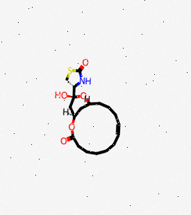 O=C1CCCCCC=CCCC[C@@H]2C[C@H](C[C@](O)([C@@H]3CSC(=O)N3)O2)O1